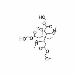 CCC(C(CC(=O)OCO)C1CN1C)(C(CC(=O)OCO)C1CN1C)C(CC(=O)OCO)C1CN1C